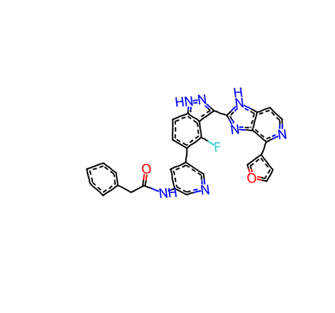 O=C(Cc1ccccc1)Nc1cncc(-c2ccc3[nH]nc(-c4nc5c(-c6ccoc6)nccc5[nH]4)c3c2F)c1